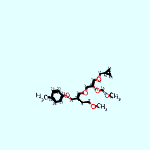 COCCC(COCC(COCC1CC1)OCOC)COc1ccc(C)cc1